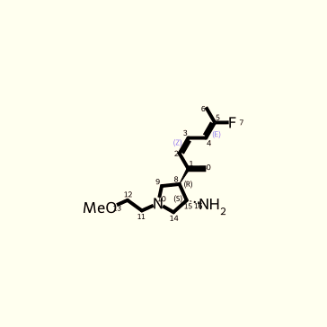 C=C(/C=C\C=C(/C)F)[C@@H]1CN(CCOC)C[C@H]1N